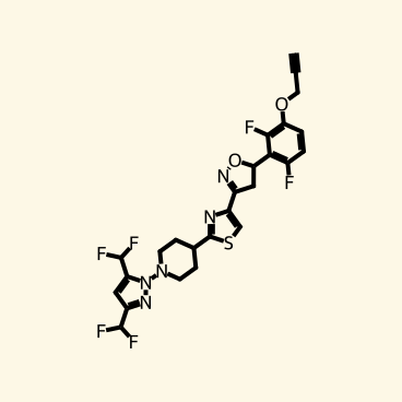 C#CCOc1ccc(F)c(C2CC(c3csc(C4CCN(n5nc(C(F)F)cc5C(F)F)CC4)n3)=NO2)c1F